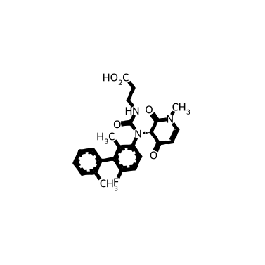 Cc1ccccc1-c1c(F)ccc(N(C(=O)NCCC(=O)O)[C@H]2C(=O)C=CN(C)C2=O)c1C